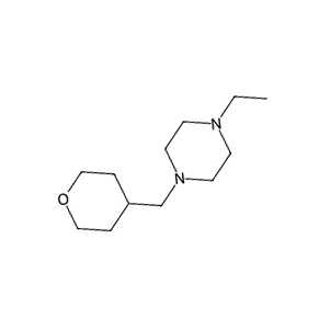 CCN1CCN(CC2CCOCC2)CC1